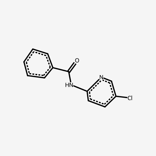 O=C(Nc1ccc(Cl)cn1)c1ccccc1